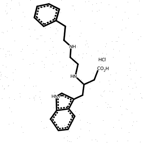 Cl.O=C(O)CC(Cc1c[nH]c2ccccc12)NCCNCCc1ccccc1